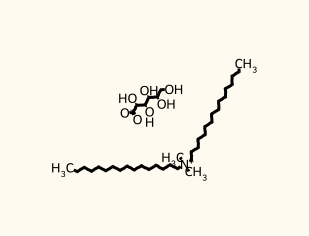 CCCCCCCCCCCCCCCC[N+](C)(C)CCCCCCCCCCCCCCCC.O=C([O-])[C@H](O)[C@@H](O)[C@H](O)[C@H](O)CO